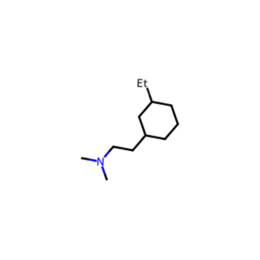 CCC1CCCC(CCN(C)C)C1